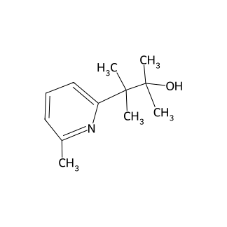 Cc1cccc(C(C)(C)C(C)(C)O)n1